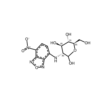 O=[N+]([O-])c1ccc(N[C@H]2C(O)O[C@H](CO)[C@@H](O)[C@@H]2O)c2nonc12